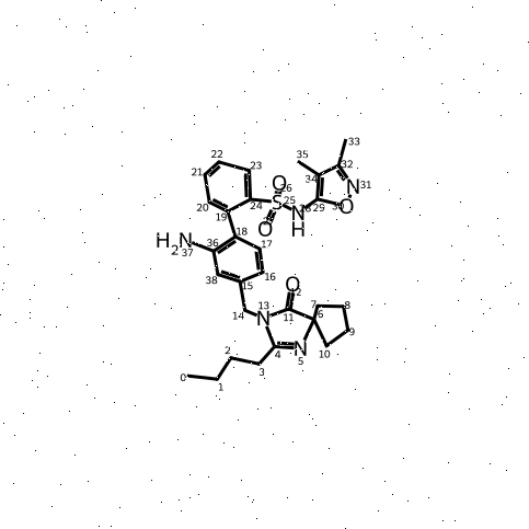 CCCCC1=NC2(CCCC2)C(=O)N1Cc1ccc(-c2ccccc2S(=O)(=O)Nc2onc(C)c2C)c(N)c1